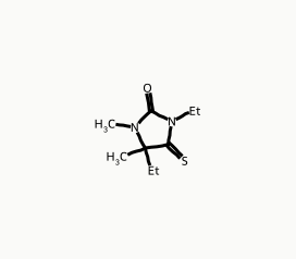 CCN1C(=O)N(C)C(C)(CC)C1=S